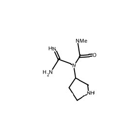 CNC(=O)N(C(=N)N)C1CCNC1